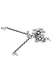 CCCCCCCCCCCCCCCC(=O)OC[C@H](COP(=O)(O)O[C@@H]1[C@H](O)[C@H](O)[C@@H](O)[C@H](O)[C@H]1O[C@H]1O[C@H](CO)C[C@H](O)[C@H]1NC(C)=O)OC(=O)CCCCCCCCCCCCCCC